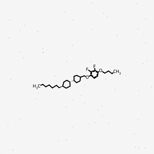 CCCCCCC[C@H]1CC[C@H](C2CCC(COc3ccc(OCCCC)c(F)c3F)CC2)CC1